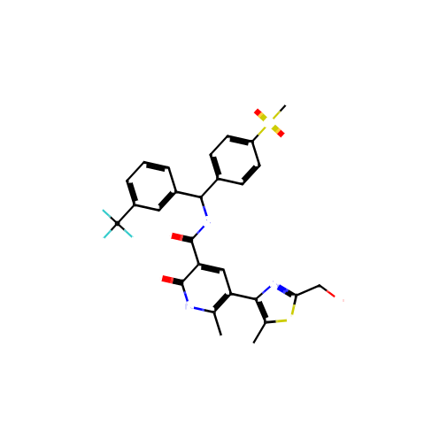 Cc1[nH]c(=O)c(C(=O)NC(c2ccc(S(C)(=O)=O)cc2)c2cccc(C(F)(F)F)c2)cc1-c1nc(CO)sc1C